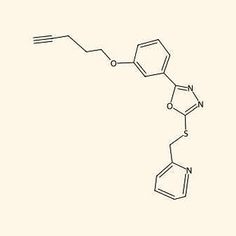 C#CCCCOc1cccc(-c2nnc(SCc3ccccn3)o2)c1